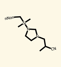 CCCCCCCCCC[Si](C)(C)N1CCN(CC(C)C#N)C1